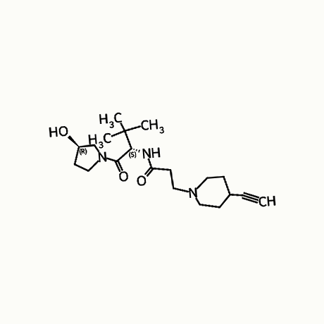 C#CC1CCN(CCC(=O)N[C@H](C(=O)N2CC[C@@H](O)C2)C(C)(C)C)CC1